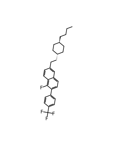 CCCC[C@H]1CC[C@H](CCc2ccc3c(F)c(-c4ccc(C(F)(F)F)cc4)ccc3c2)CC1